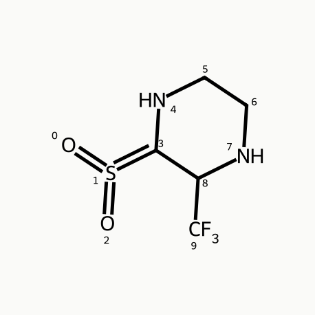 O=S(=O)=C1NCCNC1C(F)(F)F